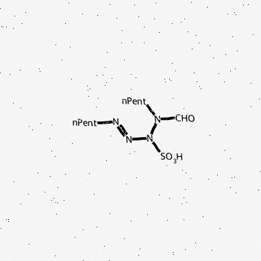 CCCCCN=NN(N(C=O)CCCCC)S(=O)(=O)O